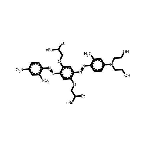 CCCCC(CC)COc1cc(N=Nc2ccc([N+](=O)[O-])cc2[N+](=O)[O-])c(OCC(CC)CCCC)cc1N=Nc1ccc(N(CCO)CCO)cc1C